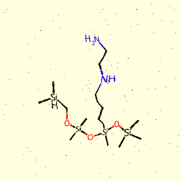 C[SiH](C)CO[Si](C)(C)O[Si](C)(CCCNCCN)O[Si](C)(C)C